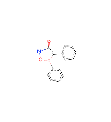 O=C1NOB(c2ccccc2)C1c1ccccc1